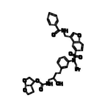 CC(C)CN(c1cccc(CCC(O)CNC(=O)OC2COC3OCCC23)c1)S(=O)(=O)c1ccc2occ(CNC(=O)c3ccccc3)c2c1